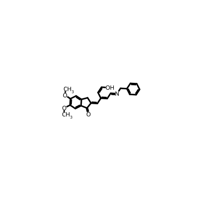 COc1cc2c(cc1OC)C(=O)/C(=C/C(/C=C\O)=C/C=N/Cc1ccccc1)C2